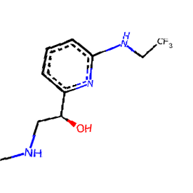 CC(C)(C)NC[C@H](O)c1cccc(NCC(F)(F)F)n1